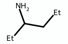 [CH2]CCC(N)C[CH2]